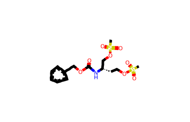 CS(=O)(=O)OCC[C@@H](COS(C)(=O)=O)NC(=O)OCc1ccccc1